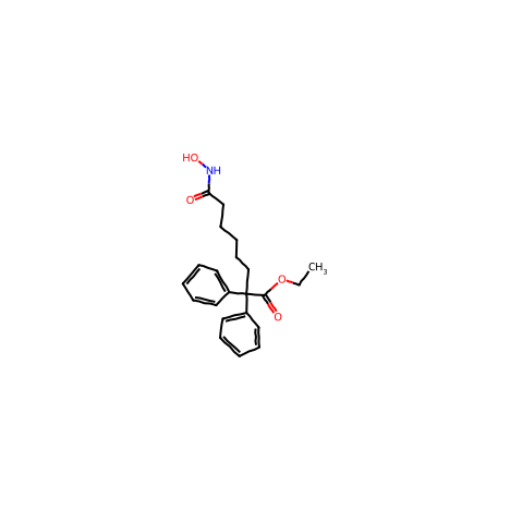 CCOC(=O)C(CCCCCC(=O)NO)(c1ccccc1)c1ccccc1